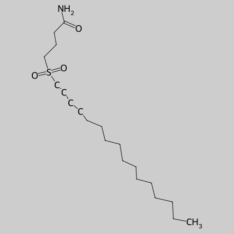 CCCCCCCCCCCCCCCCS(=O)(=O)CCCC(N)=O